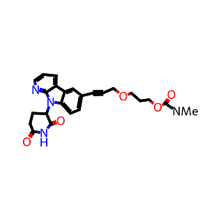 CNC(=O)OCCCOCC#Cc1ccc2c(c1)c1cccnc1n2C1CCC(=O)NC1=O